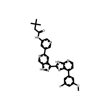 COc1cc(F)cc(-c2ccnc3[nH]c(-c4n[nH]c5cnc(-c6cncc(NC(=O)CC(C)(C)C)c6)cc45)nc23)c1